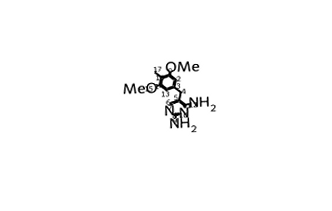 COc1cc(Cc2cnc(N)nc2N)cc(OC)c1C